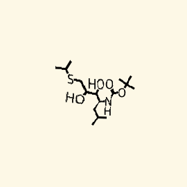 CC(C)C[C@H](NC(=O)OC(C)(C)C)C(O)C(O)CSC(C)C